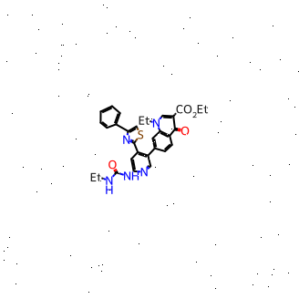 CCNC(=O)Nc1cc(-c2nc(-c3ccccc3)cs2)c(-c2ccc3c(=O)c(C(=O)OCC)cn(CC)c3c2)cn1